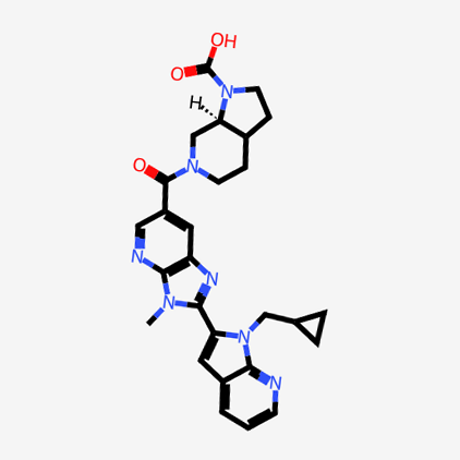 Cn1c(-c2cc3cccnc3n2CC2CC2)nc2cc(C(=O)N3CCC4CCN(C(=O)O)[C@@H]4C3)cnc21